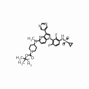 CN(c1ccc2c(n1)c(-c1cncnc1)cn2-c1c(F)ccc(NS(=O)(=O)C2CC2)c1F)C1CCN(C(=O)OC(C)(C)C)CC1